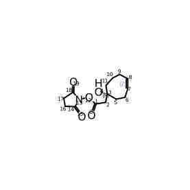 O=C(C[C@]1(O)CC/C=C\CCC1)ON1C(=O)CCC1=O